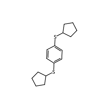 c1cc(SC2CCCC2)ccc1SC1CCCC1